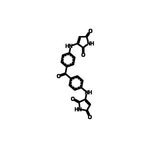 O=C1C=C(Nc2ccc(C(=O)c3ccc(NC4=CC(=O)NC4=O)cc3)cc2)C(=O)N1